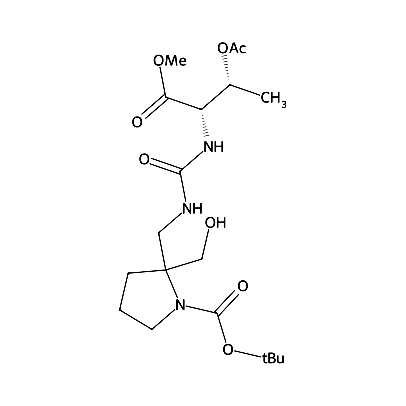 COC(=O)[C@@H](NC(=O)NCC1(CO)CCCN1C(=O)OC(C)(C)C)[C@@H](C)OC(C)=O